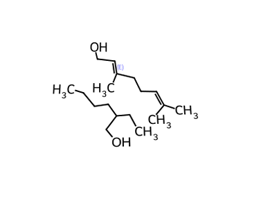 CC(C)=CCC/C(C)=C/CO.CCCCC(CC)CO